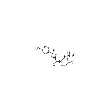 O=C1COC2CCN(C(=O)N3CC(F)(c4ccc(Br)cc4)C3)C[C@H]2N1